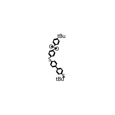 CC(C)(C)Sc1ccc(-c2ccc(Sc3ccc(S(=O)(=O)c4ccc(C(C)(C)C)cc4)cc3)cc2)cc1